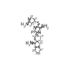 Cc1c(Sc2nc(F)c(N3CCC4(CC3)Cc3ccccc3[C@H]4N)nc2N)ccnc1N